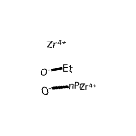 CCC[O-].CC[O-].[Zr+4].[Zr+4]